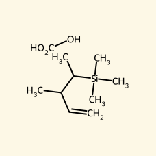 C=CC(C)C(C)[Si](C)(C)C.O=C(O)O